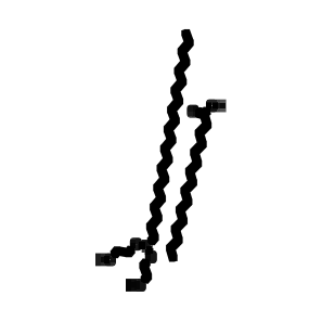 CCCCCCCCCCCCCCCC(=O)O.CCCCCCCCCCCCCCCCCCCCCCN(OCCO)OCCO